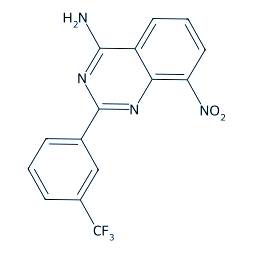 Nc1nc(-c2cccc(C(F)(F)F)c2)nc2c([N+](=O)[O-])cccc12